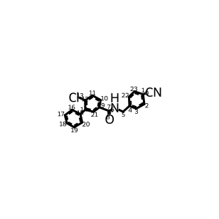 N#Cc1ccc(CNC(=O)c2ccc(Cl)c(-c3ccccc3)c2)cc1